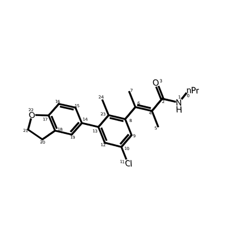 CCCNC(=O)/C(C)=C(\C)c1cc(Cl)cc(-c2ccc3c(c2)CCO3)c1C